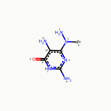 CC(C)N(N)c1nc(N)[nH]c(=O)c1N